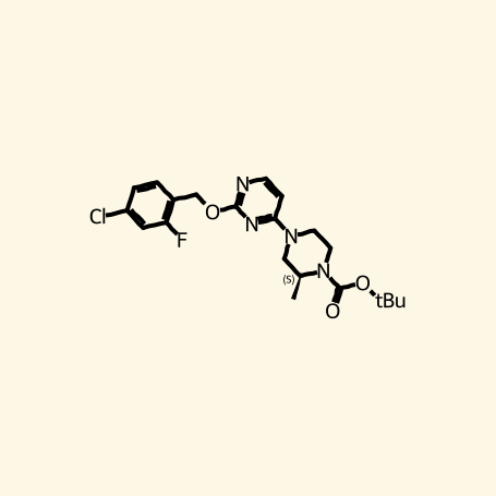 C[C@H]1CN(c2ccnc(OCc3ccc(Cl)cc3F)n2)CCN1C(=O)OC(C)(C)C